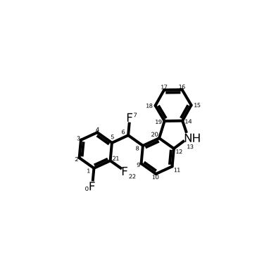 Fc1cccc(C(F)c2cccc3[nH]c4ccccc4c23)c1F